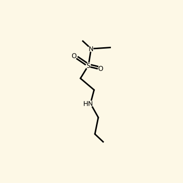 CCCNCCS(=O)(=O)N(C)C